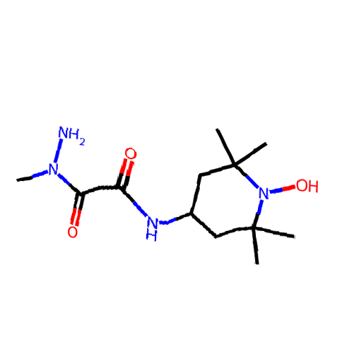 CN(N)C(=O)C(=O)NC1CC(C)(C)N(O)C(C)(C)C1